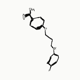 O=C(O)c1ccc(OCCCNc2ccc(F)cc2)cc1